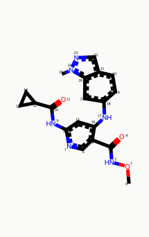 CONC(=O)c1cnc(NC(=O)C2CC2)cc1Nc1ccc2cnn(C)c2c1